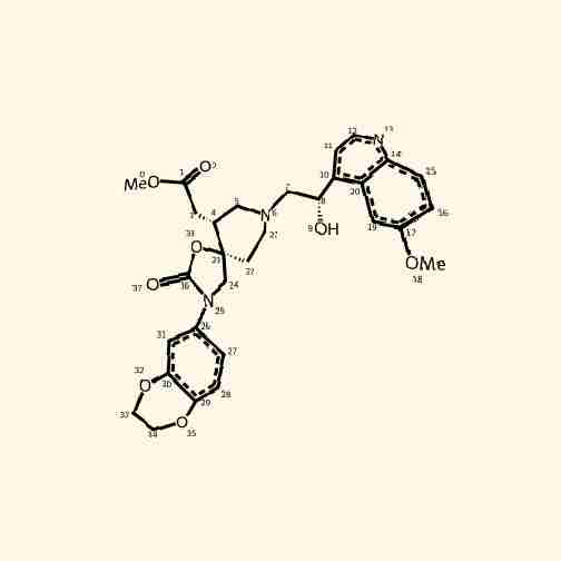 COC(=O)C[C@@H]1CN(C[C@@H](O)c2ccnc3ccc(OC)cc23)CC[C@@]12CN(c1ccc3c(c1)OCCO3)C(=O)O2